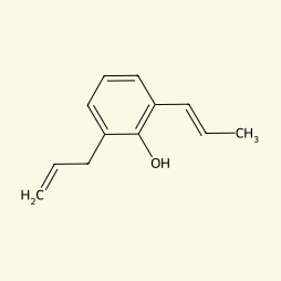 C=CCc1cccc(C=CC)c1O